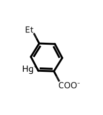 CCc1ccc(C(=O)[O-])cc1.[Hg+]